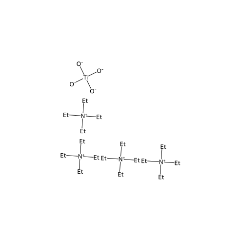 CC[N+](CC)(CC)CC.CC[N+](CC)(CC)CC.CC[N+](CC)(CC)CC.CC[N+](CC)(CC)CC.[O-][Ti]([O-])([O-])[O-]